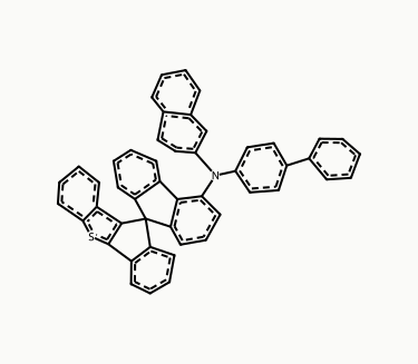 c1ccc(-c2ccc(N(c3ccc4ccccc4c3)c3cccc4c3-c3ccccc3C43c4ccccc4-c4sc5ccccc5c43)cc2)cc1